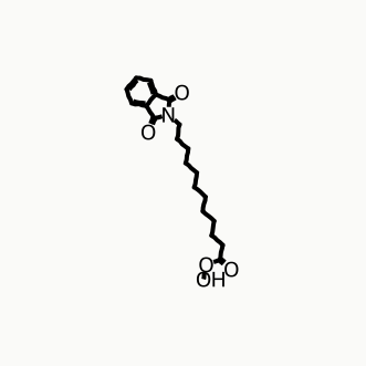 O=C(CCCCCCCCCCCN1C(=O)c2ccccc2C1=O)OO